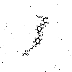 C=CC(=O)OCCCCOc1ccc(C(=O)Oc2ccc(OC(=O)C(=C)CC(=O)OC)cc2)c(C)c1